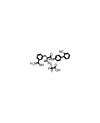 CC(=O)N(C)[C@@H](Cc1cccc(C(=N)N)c1)C(=O)Nc1ccc(-c2ccccc2C#N)cc1.O=C(O)C(F)(F)F